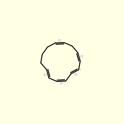 [C]1=C/C=C\C=C\CCC/C=C\C\C=C/1